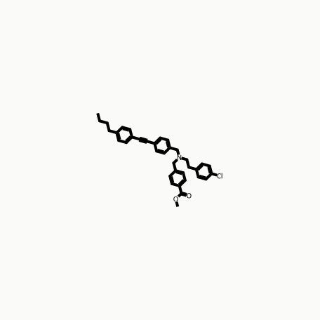 CCCCc1ccc(C#Cc2ccc(CN(CCc3ccc(Cl)cc3)Cc3ccc(C(=O)OC)cc3)cc2)cc1